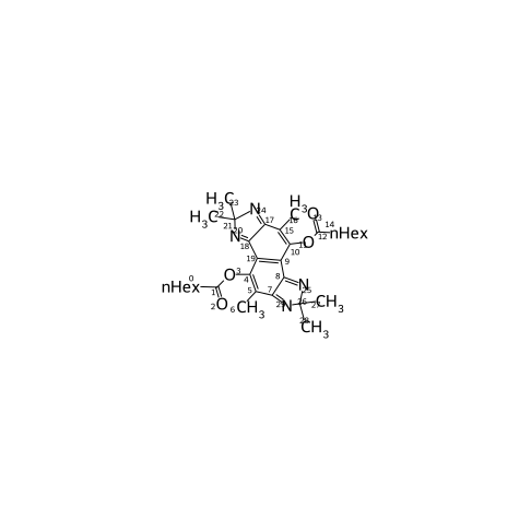 CCCCCCC(=O)Oc1c(C)c2c(c3c(OC(=O)CCCCCC)c(C)c4c(c13)=NC(C)(C)N=4)=NC(C)(C)N=2